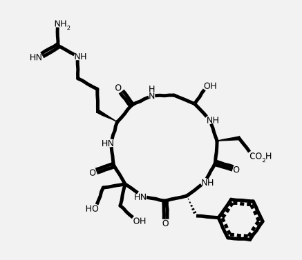 N=C(N)NCCC[C@@H]1NC(=O)C(CO)(CO)NC(=O)[C@@H](Cc2ccccc2)NC(=O)[C@H](CC(=O)O)NC(O)CNC1=O